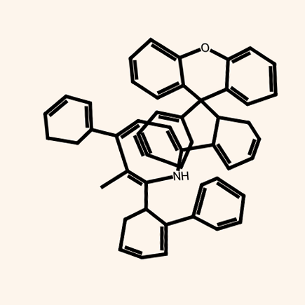 CC1=C(C2CC=CC=C2c2ccccc2)NC(C2=CC=CCC2C2(C3=CC#CCC3)c3ccccc3Oc3ccccc32)=CC=C1C1=CC=CCC1